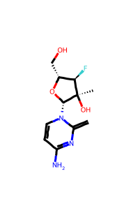 C=C1N=C(N)C=CN1[C@@H]1O[C@H](CO)[C@@H](F)[C@@]1(C)O